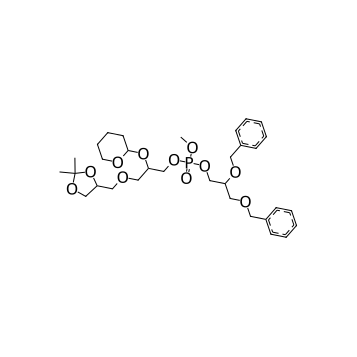 COP(=O)(OCC(COCc1ccccc1)OCc1ccccc1)OCC(COCC1COC(C)(C)O1)OC1CCCCO1